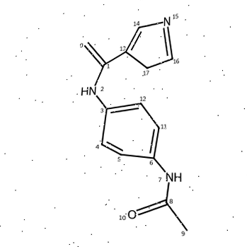 C=C(Nc1ccc(NC(C)=O)cc1)C1=CN=CC1